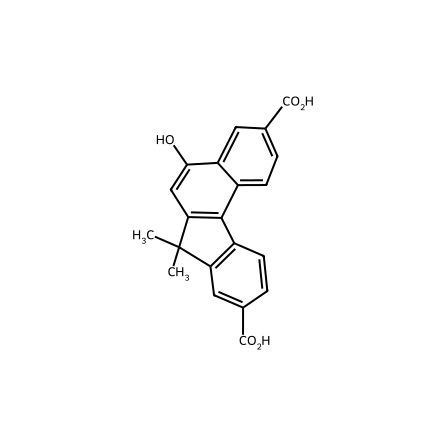 CC1(C)c2cc(C(=O)O)ccc2-c2c1cc(O)c1cc(C(=O)O)ccc21